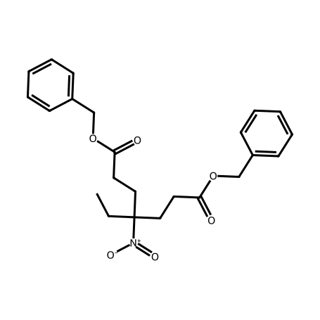 CCC(CCC(=O)OCc1ccccc1)(CCC(=O)OCc1ccccc1)[N+](=O)[O-]